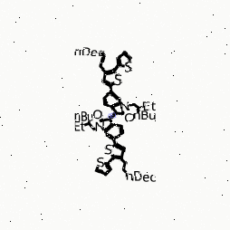 CCCCCCCCCCCCc1cc(-c2ccc3c(c2)N(CC(CC)CCCC)C(=O)/C3=C2/C(=O)N(CC(CC)CCCC)c3cc(-c4cc(CCCCCCCCCCCC)c(-c5cccs5)s4)ccc32)sc1-c1cccs1